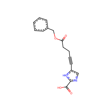 O=C(CCC#Cc1cnc(C(=O)O)[nH]1)OCc1ccccc1